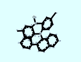 Cc1ccc2c(c1)[S+]([O-])c1cc(C)ccc1N2c1c(-c2ccccc2)ccc2ccccc12